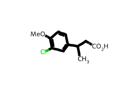 COc1ccc(C(C)CC(=O)O)cc1Cl